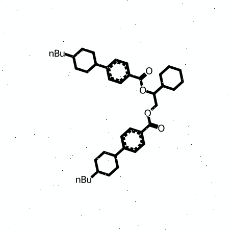 CCCCC1CCC(c2ccc(C(=O)OCC(OC(=O)c3ccc(C4CCC(CCCC)CC4)cc3)C3CCCCC3)cc2)CC1